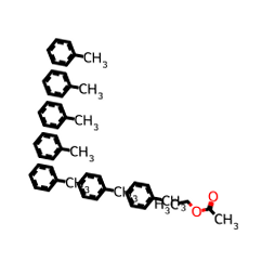 CCOC(C)=O.Cc1ccccc1.Cc1ccccc1.Cc1ccccc1.Cc1ccccc1.Cc1ccccc1.Cc1ccccc1.Cc1ccccc1